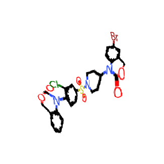 O=C1OCc2ccccc2N1c1ccc(S(=O)(=O)N2CCC(N3C(=O)OCc4cc(Br)ccc43)CC2)cc1Cl